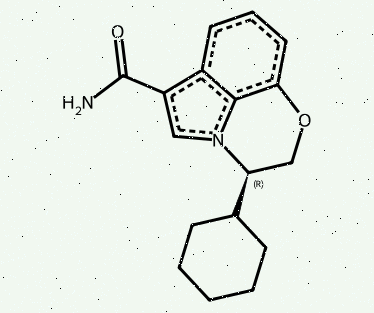 NC(=O)c1cn2c3c(cccc13)OC[C@H]2C1CCCCC1